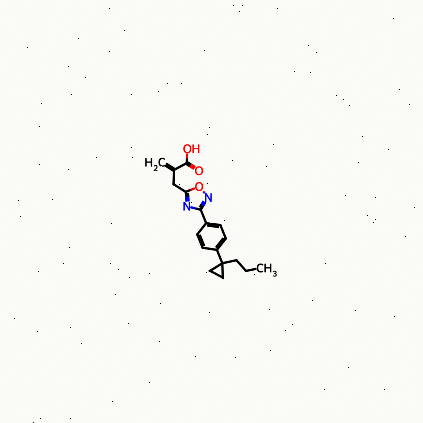 C=C(Cc1nc(-c2ccc(C3(CCC)CC3)cc2)no1)C(=O)O